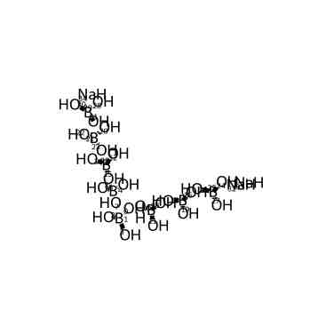 OB(O)O.OB(O)O.OB(O)O.OB(O)O.OB(O)O.OB(O)O.OB(O)O.OB(O)O.[NaH].[NaH].[NaH]